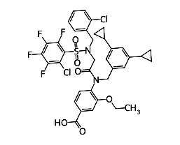 CCOc1cc(C(=O)O)ccc1N(Cc1cc(C2CC2)cc(C2CC2)c1)C(=O)CN(Cc1ccccc1Cl)S(=O)(=O)c1c(F)c(F)c(F)c(F)c1Cl